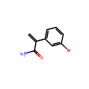 C=C(C(N)=O)c1cccc(Br)c1